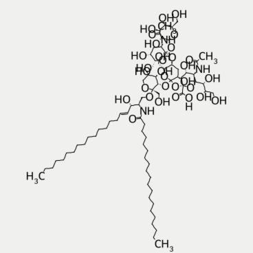 CCCCCCCCCCCCCCC/C=C/[C@H](O)[C@@H](CO[C@]1(CO)OC[C@@H](O)[C@@H](O)[C@@H]1O[C@@]1(O[C@]2(C(=O)O)C[C@H](O)[C@@H](NC(C)=O)[C@H]([C@H](O)[C@H](O)CO)O2)O[C@H](CO)[C@@H](O[C@]2(O[C@H]3O[C@H](CO)[C@H](O)[C@H](O)[C@H]3O)O[C@H](CO)[C@H](O)C[C@H]2NC(C)=O)C[C@H]1O)NC(=O)CCCCCCCCCCCCCCCCCCC